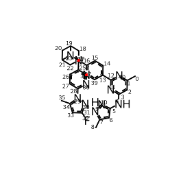 Cc1cc(Nc2cc(C)[nH]n2)nc(-c2ccc(N3CC4CC(C3)N4Cc3ccc(-n4nc(F)cc4C)nc3)nc2)n1